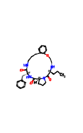 CCC[C@@H]1NCCOc2ccccc2CCCNC(=O)[C@@H](Cc2ccccc2)NC(=O)[C@@H]2CCCN2C1=O